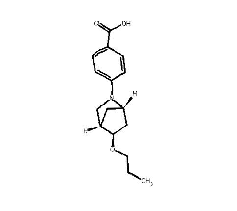 CCCO[C@@H]1C[C@@H]2C[C@H]1CN2c1ccc(C(=O)O)cc1